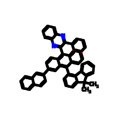 CC1(C)c2ccccc2-c2c(-c3c4ccccc4c(-c4nc5ccccc5nc4-c4ccccc4)c4ccc(-c5ccc6ccccc6c5)cc34)cccc21